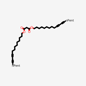 CCCCCC#CC#CCCCCCCCCCOC(=O)CC(=O)OCCCCCCCCCC#CC#CCCCCC